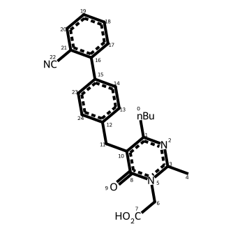 CCCCc1nc(C)n(CC(=O)O)c(=O)c1Cc1ccc(-c2ccccc2C#N)cc1